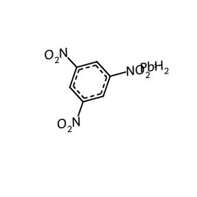 O=[N+]([O-])c1cc([N+](=O)[O-])cc([N+](=O)[O-])c1.[PbH2]